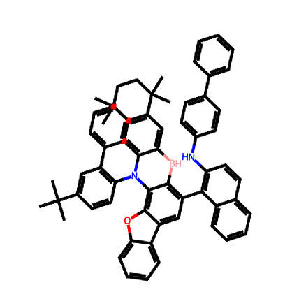 CC(C)(C)c1ccc(N2c3cc4c(cc3Bc3c(-c5c(Nc6ccc(-c7ccccc7)cc6)ccc6ccccc56)cc5c(oc6ccccc65)c32)C(C)(C)CCC4(C)C)c(-c2ccccc2)c1